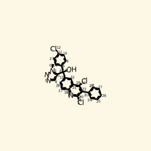 Cn1nncc1C(O)(c1ccc(Cl)cc1)c1ccc2nc(Cl)c(-c3ccccc3)c(Cl)c2c1